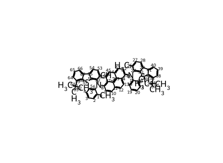 Cc1ccccc1N(c1ccc2ccc3c(N(c4ccccc4C)c4c(C)ccc5c4sc4c(C(C)(C)C)cccc45)ccc4ccc1c2c43)c1c(C)ccc2c1sc1c(C(C)(C)C)cccc12